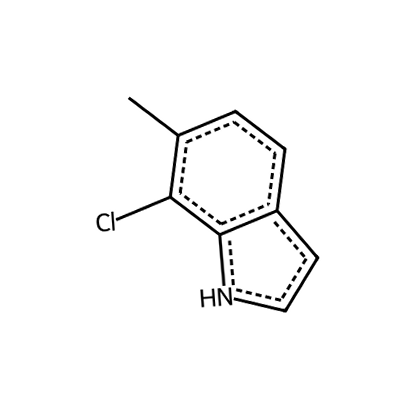 Cc1ccc2cc[nH]c2c1Cl